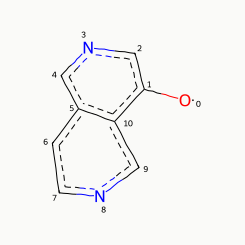 [O]c1cncc2ccncc12